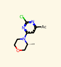 CC(=O)c1cc(N2CCOC[C@H]2C)nc(Cl)n1